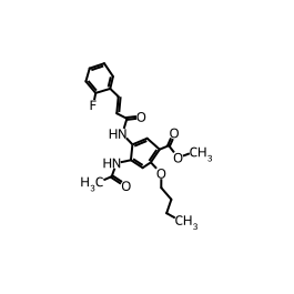 CCCCOc1cc(NC(C)=O)c(NC(=O)C=Cc2ccccc2F)cc1C(=O)OC